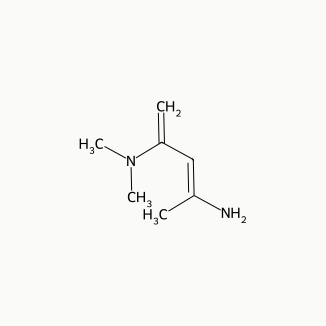 C=C(/C=C(\C)N)N(C)C